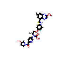 COc1cnc2c(-c3nc4cc(F)c(OC[C@@H](C)N(C(=O)O)c5ccc(C(=O)N6CC[C@@H](O)C6)nc5)cc4s3)cc(C)cc2n1